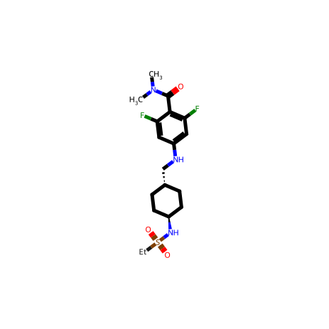 CCS(=O)(=O)N[C@H]1CC[C@H](CNc2cc(F)c(C(=O)N(C)C)c(F)c2)CC1